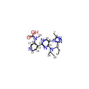 CCC1c2nnc(C)n2-c2cnc(-c3ccncc3N(C)C(=O)O)nc2N1C(C)C